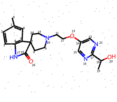 Cc1ccc2c(c1)C1(CCN(CCOc3cnc(C(C)O)nc3)CC1)C(=O)N2